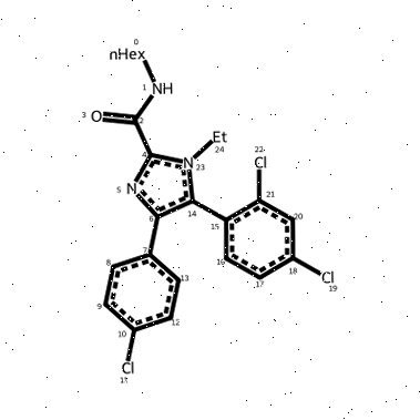 CCCCCCNC(=O)c1nc(-c2ccc(Cl)cc2)c(-c2ccc(Cl)cc2Cl)n1CC